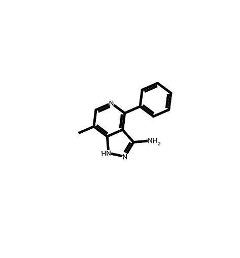 Cc1cnc(-c2ccccc2)c2c(N)n[nH]c12